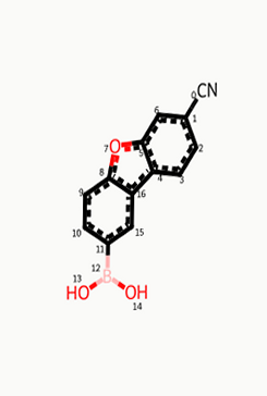 N#Cc1ccc2c(c1)oc1ccc(B(O)O)cc12